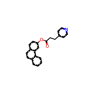 O=C(CCc1ccncc1)Oc1ccc2ccc3ccccc3c2c1